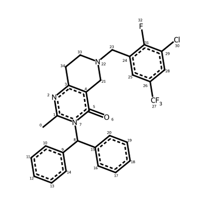 Cc1nc2c(c(=O)n1C(c1ccccc1)c1ccccc1)CN(Cc1cc(C(F)(F)F)cc(Cl)c1F)CC2